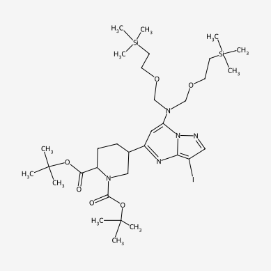 CC(C)(C)OC(=O)C1CCC(c2cc(N(COCC[Si](C)(C)C)COCC[Si](C)(C)C)n3ncc(I)c3n2)CN1C(=O)OC(C)(C)C